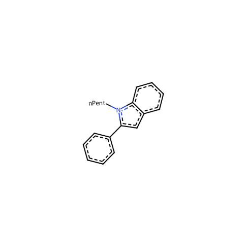 CCCCCn1c(-c2ccccc2)cc2ccccc21